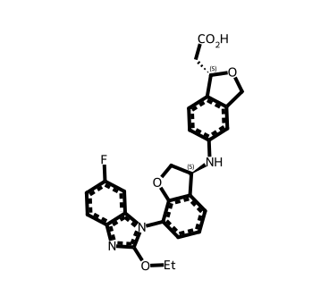 CCOc1nc2ccc(F)cc2n1-c1cccc2c1OC[C@H]2Nc1ccc2c(c1)CO[C@H]2CC(=O)O